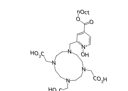 CCCCCCCCOC(=O)c1cc[n+](O)c(CN2CCN(CC(=O)O)CCN(CC(=O)O)CCN(CC(=O)O)CC2)c1